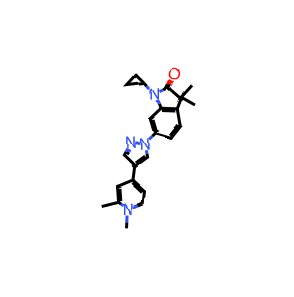 CC1=CC(c2cnn(-c3ccc4c(c3)N(C3CC3)C(=O)C4(C)C)c2)=CCN1C